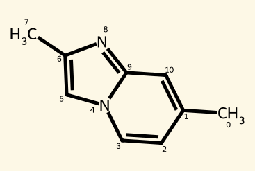 Cc1ccn2cc(C)nc2c1